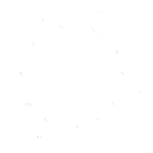 C=C1NC(=C)N(C)C(CC(C)C)C(=C)N(C)C(=C)N(C)C(=O)N(C)C([C@H](O)C(C)C/C=C/C)C(=O)NC(=C)N(C)CC(=O)N(C)C(CC(C)C)C(=O)NC(C(C)C)C(=O)N(C)C(CC(C)C)C(=C)NC1C